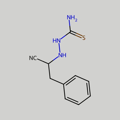 N#CC(Cc1ccccc1)NNC(N)=S